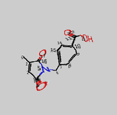 CC1=CC(=O)N(Cc2ccc(C(=O)O)cc2)C1=O